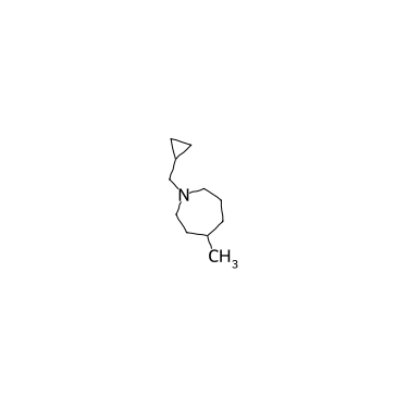 CC1CCCN(CC2CC2)CC1